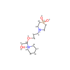 O=S1(=O)CCN(CCCOC(CO)N2CCCCC2)CC1